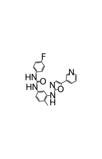 Cc1ccc(NC(=O)Nc2ccc(F)cc2)cc1Nc1ncc(-c2cccnc2)o1